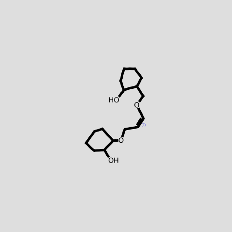 OC1CCCCC1CO/C=C\COC1CCCCC1O